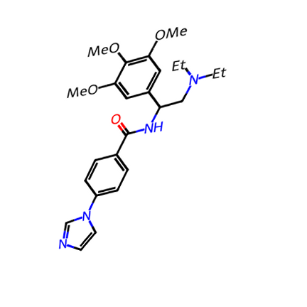 CCN(CC)CC(NC(=O)c1ccc(-n2ccnc2)cc1)c1cc(OC)c(OC)c(OC)c1